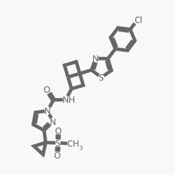 CS(=O)(=O)C1(c2ccn(C(=O)NC3CC4(c5nc(-c6ccc(Cl)cc6)cs5)CCC34)n2)CC1